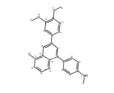 CNc1ccc(-c2cc(-c3cnc(OC)c(OC)c3)cc3c(C)ncnc23)cc1